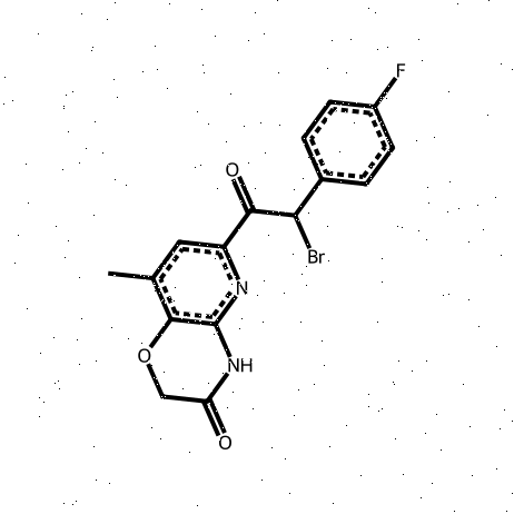 Cc1cc(C(=O)C(Br)c2ccc(F)cc2)nc2c1OCC(=O)N2